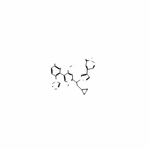 CC(C)Oc1cc(C(CC2CC2)n2cc(-c3cnn(C)c(=O)c3)cn2)[n+]([O-])cc1-c1c(-n2cnnn2)ccc(Cl)c1F